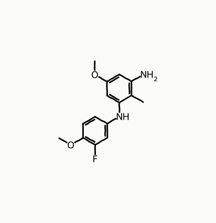 COc1cc(N)c(C)c(Nc2ccc(OC)c(F)c2)c1